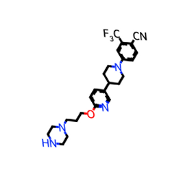 N#Cc1ccc(N2CCC(c3ccc(OCCCN4CCNCC4)nc3)CC2)cc1C(F)(F)F